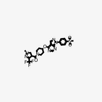 CN1CC(C(=O)N2CCC(Oc3ncnc4c3cnn4-c3ccc(S(C)(=O)=O)cc3)CC2)C(C(F)(F)F)=N1